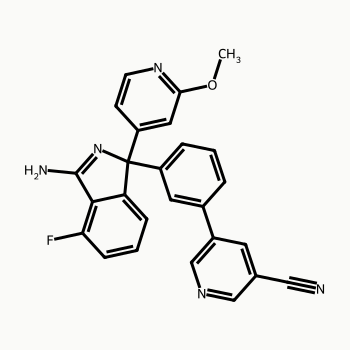 COc1cc(C2(c3cccc(-c4cncc(C#N)c4)c3)N=C(N)c3c(F)cccc32)ccn1